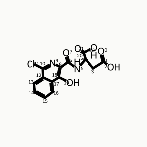 O=C(O)CC(NC(=O)c1nc(Cl)c2ccccc2c1O)C(=O)O